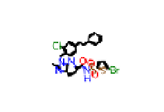 Cc1nc2ccc(C(=O)NS(=O)(=O)c3ccc(Br)s3)nc2n1Cc1ccc(CCc2ccccc2)cc1Cl